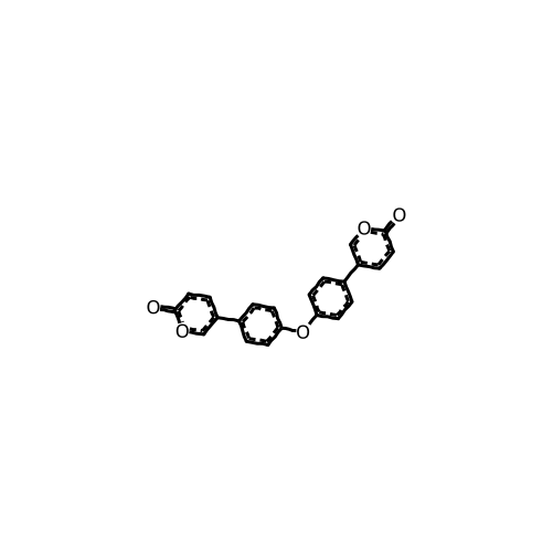 O=c1ccc(-c2ccc(Oc3ccc(-c4ccc(=O)oc4)cc3)cc2)co1